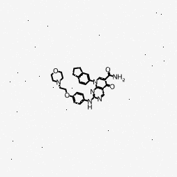 NC(=O)c1cn(-c2ccc3c(c2)CCC3)c2nc(Nc3ccc(OCCN4CCOCC4)cc3)ncc2c1=O